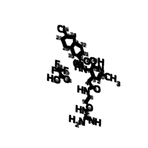 Cc1cc(CC(=O)NCCONC(=N)N)c(NS(=O)(=O)c2ccc3cc(Cl)ccc3c2)c(=O)[nH]1.O=C(O)C(F)(F)F